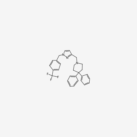 FC(F)(F)c1ccc(Cn2ccc(CN3CCC(c4ccccc4)(c4ccccc4)CC3)n2)cc1